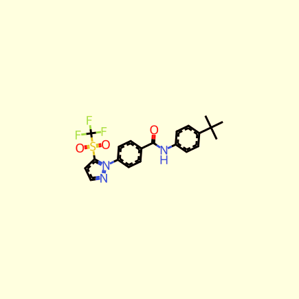 CC(C)(C)c1ccc(NC(=O)c2ccc(-n3nccc3S(=O)(=O)C(F)(F)F)cc2)cc1